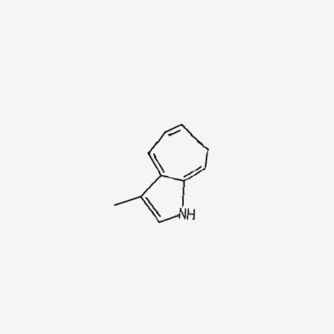 Cc1c[nH]c2c1=CC=CCC=2